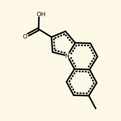 Cc1ccc2c(ccc3cc(C(=O)O)cn32)c1